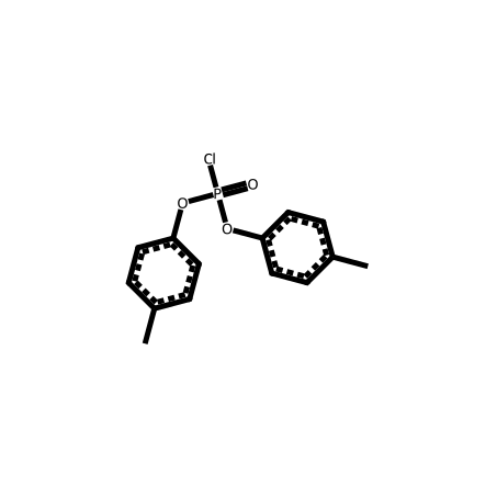 Cc1ccc(OP(=O)(Cl)Oc2ccc(C)cc2)cc1